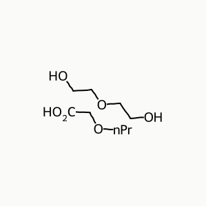 CCCOCC(=O)O.OCCOCCO